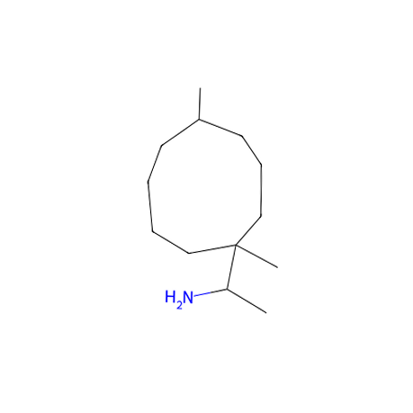 CC1CCCCC(C)(C(C)N)CCC1